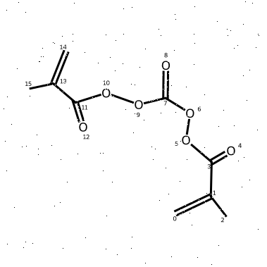 C=C(C)C(=O)OOC(=O)OOC(=O)C(=C)C